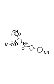 COCOC[C@H](C[C@H](C)C(=O)NO)NC(=O)c1ccc(-c2ccc(C#N)cc2)cc1